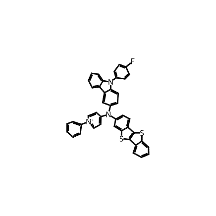 Fc1ccc(-n2c3ccccc3c3cc(N(c4cc[n+](-c5ccccc5)cc4)c4ccc5c(c4)sc4c6ccccc6sc54)ccc32)cc1